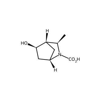 C[C@@H]1[C@@H]2C[C@@H](C[C@H]2O)N1C(=O)O